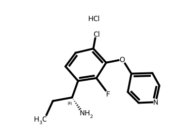 CC[C@@H](N)c1ccc(Cl)c(Oc2ccncc2)c1F.Cl